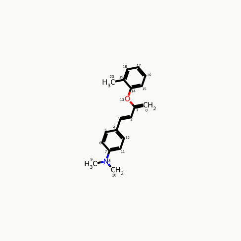 C=C(/C=C/c1ccc(N(C)C)cc1)Oc1ccccc1C